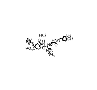 Cl.Cn1nnnc1SCC1(C(=O)O)CS[C@@H]2C(NC(=O)C(=NOCC(=O)NN=Cc3ccc(O)c(O)c3)c3csc(N)n3)C(=O)N2C1